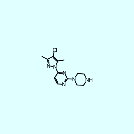 Cc1nn(-c2ccnc(N3CCNCC3)n2)c(C)c1Cl